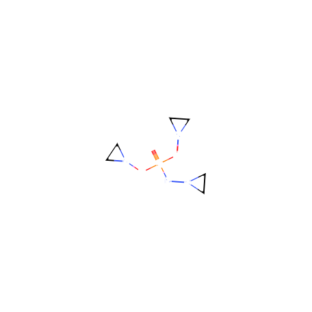 O=P(NN1CC1)(ON1CC1)ON1CC1